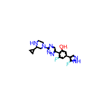 Oc1cc(-c2cn[nH]c2F)cc(F)c1-c1cnc(N2CCNC(C3CC3)C2)nn1